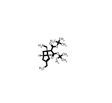 CCC1=C[C@@H]2[C@H](C1)C[C@]2(CN)C(C(=O)OC(C)(C)C)C(=O)OC(C)(C)C